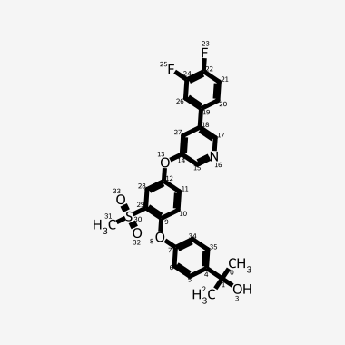 CC(C)(O)c1ccc(Oc2ccc(Oc3cncc(-c4ccc(F)c(F)c4)c3)cc2S(C)(=O)=O)cc1